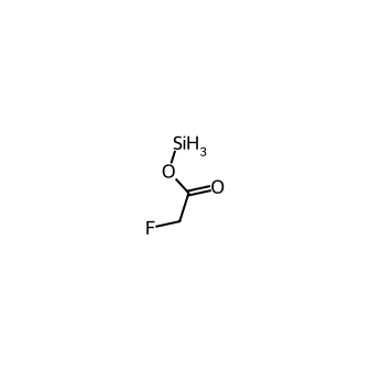 O=C(CF)O[SiH3]